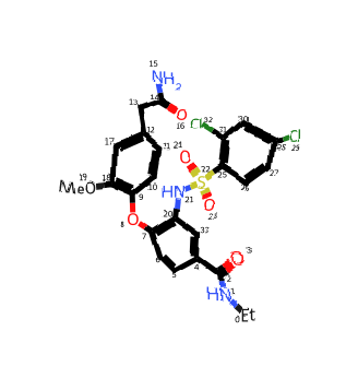 CCNC(=O)c1ccc(Oc2ccc(CC(N)=O)cc2OC)c(NS(=O)(=O)c2ccc(Cl)cc2Cl)c1